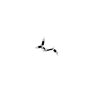 O=PN[SH](=O)=O